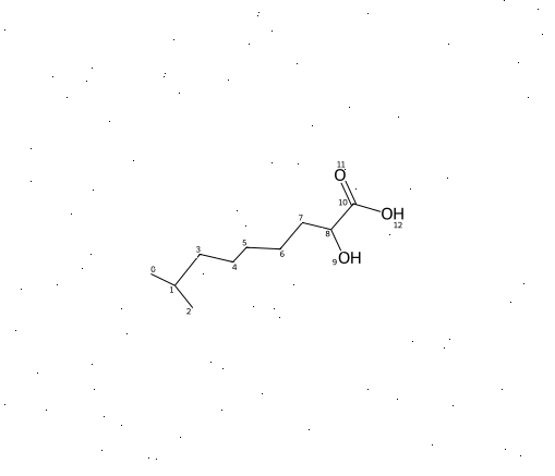 CC(C)CCCCCC(O)C(=O)O